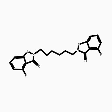 O=c1c2c(F)cccc2sn1CCCCCCn1sc2cccc(F)c2c1=O